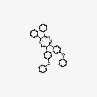 c1ccc(Oc2ccc(C3=N/N=C(c4ccccc4)\C(c4ccccc4)=N/N=C\3c3ccc(Oc4ccccc4)cc3)cc2)cc1